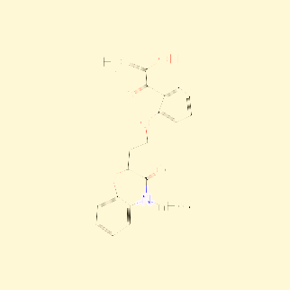 C=C(O)C(=O)c1ccccc1OCCC1Oc2ccccc2N(CCCCCC)C1=O